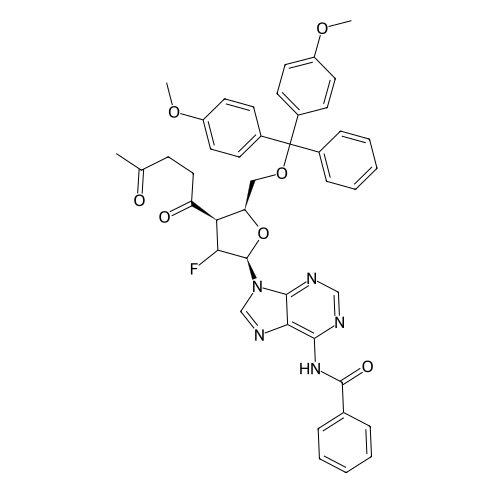 COc1ccc(C(OC[C@H]2O[C@@H](n3cnc4c(NC(=O)c5ccccc5)ncnc43)C(F)[C@H]2C(=O)CCC(C)=O)(c2ccccc2)c2ccc(OC)cc2)cc1